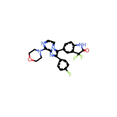 O=C1Nc2ccc(-c3c(-c4ccc(F)cc4)nc4c(N5CCOCC5)nccn34)cc2C1(F)F